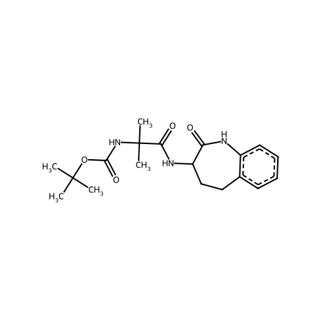 CC(C)(C)OC(=O)NC(C)(C)C(=O)NC1CCc2ccccc2NC1=O